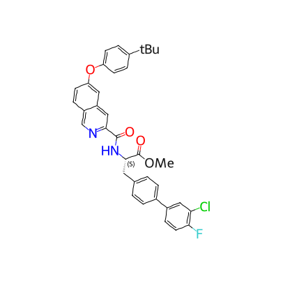 COC(=O)[C@H](Cc1ccc(-c2ccc(F)c(Cl)c2)cc1)NC(=O)c1cc2cc(Oc3ccc(C(C)(C)C)cc3)ccc2cn1